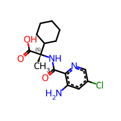 C[C@@](NC(=O)c1ncc(Cl)cc1N)(C(=O)O)C1CCCCC1